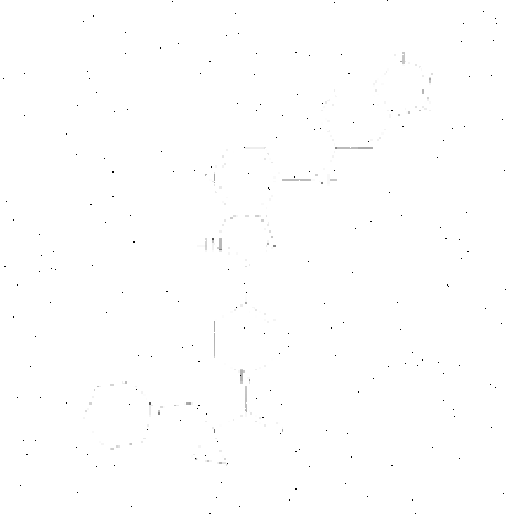 O=C(N1CC=C(c2cc3c(Nc4ccc5ncsc5c4)ccnc3[nH]2)CC1)C1(CN2CCCCC2)CC1